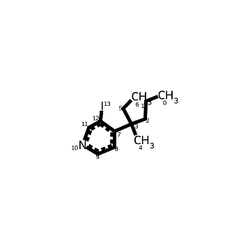 CCCC(C)(CC)c1ccncc1I